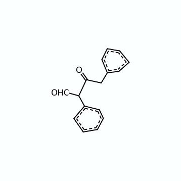 O=CC(C(=O)Cc1ccccc1)c1ccccc1